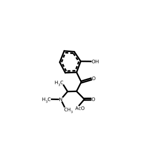 CC(=O)OC(=O)C(C(=O)c1ccccc1O)C(C)N(C)C